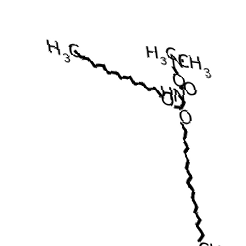 CCCCCCCCC=CCCCCCCCCOC(CNC(=O)OCCN(C)C)COCCCCCCCCCCCCCC